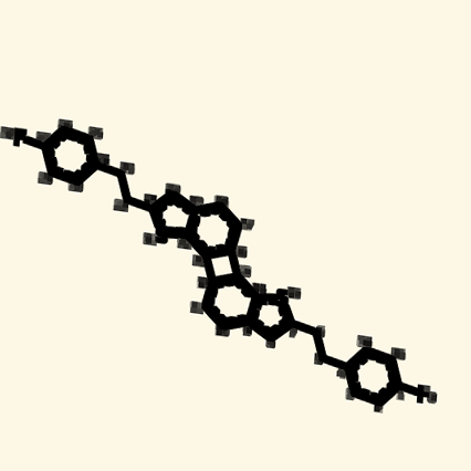 Fc1ccc(CCc2cc3ccc4c(c3s2)-c2ccc3cc(CCc5ccc(F)cc5)sc3c2-4)cc1